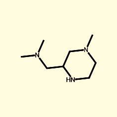 CN(C)CC1CN(C)CCN1